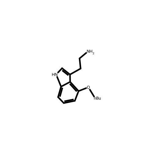 CCCCOc1cccc2[nH]cc(CCN)c12